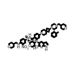 Cc1ccccc1[C@@H]1CN(CC2CCOCC2)CCN1C1CC2(CCN(c3ccc(C(=O)NS(=O)(=O)c4ccc(NCC5CCOCC5)c([N+](=O)[O-])c4)c(N4c5cc6cc[nH]c6nc5O[C@H]5COCC[C@@H]54)c3)CC2)C1